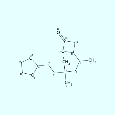 CC(CC(C)(C)CCC1OCCO1)C1CC(=O)O1